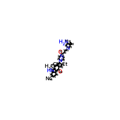 CCc1cc2c(cc1N1CCN(C(=O)CCCN3C[C@H](N)C4(CC4)C3)CC1)C(C)(C)c1[nH]c3cc(C#N)ccc3c1C2=O